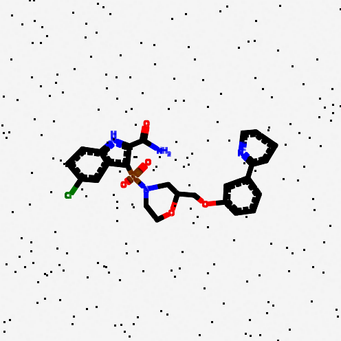 NC(=O)c1[nH]c2ccc(Cl)cc2c1S(=O)(=O)N1CCOC(COc2cccc(-c3ccccn3)c2)C1